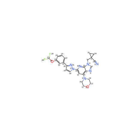 N#CC1(Cn2cnc3c(N4CCOCC4)cc(-n4ccc(-c5cccc(OC(F)F)c5)n4)nc32)CC1